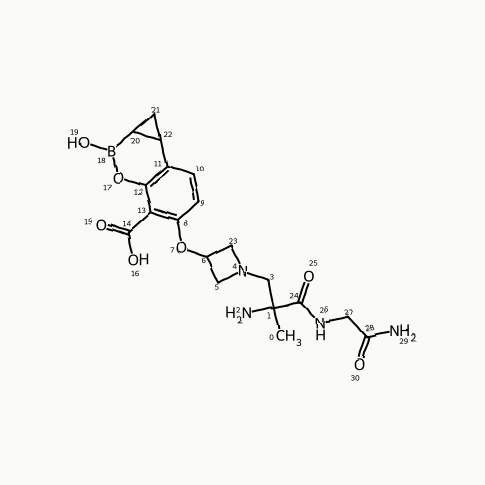 CC(N)(CN1CC(Oc2ccc3c(c2C(=O)O)OB(O)C2CC32)C1)C(=O)NCC(N)=O